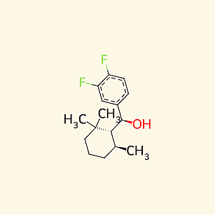 C[C@H]1CCCC(C)(C)[C@@H]1[C@H](O)c1ccc(F)c(F)c1